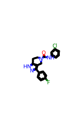 O=C(Nc1cccc(Cl)c1)N1CCc2[nH]nc(-c3ccc(F)cc3)c2C1